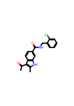 CC(=O)c1c(C)[nH]c2cc(C(=O)NCc3ccccc3Cl)ccc12